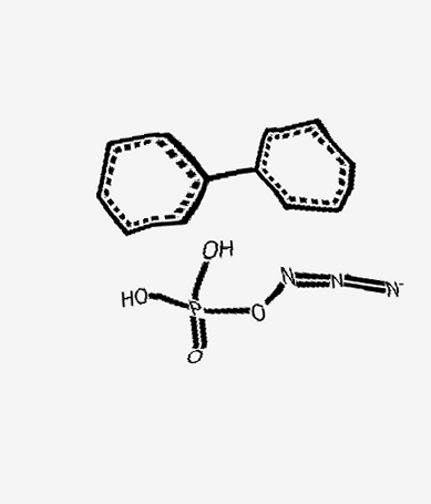 [N-]=[N+]=NOP(=O)(O)O.c1ccc(-c2ccccc2)cc1